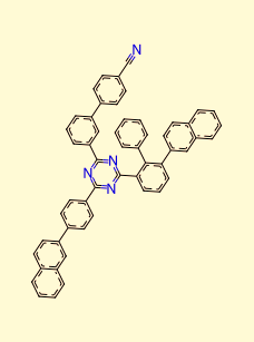 N#Cc1ccc(-c2cccc(-c3nc(-c4ccc(-c5ccc6ccccc6c5)cc4)nc(-c4cccc(-c5ccc6ccccc6c5)c4-c4ccccc4)n3)c2)cc1